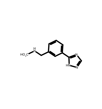 O=C(O)NCc1cccc(-c2ncn[nH]2)c1